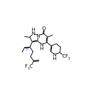 C=C(CC/C(=C\C)C1=C2NC(C3=CNC(C(F)(F)F)CC3)=C(C)C(=O)N2NC1C)C(F)(F)F